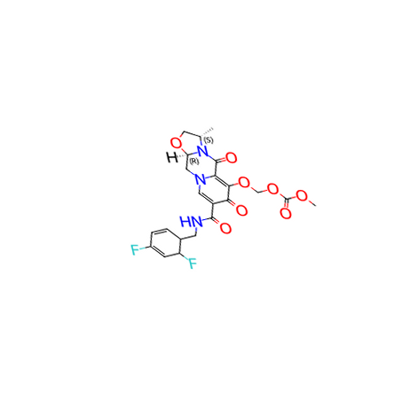 COC(=O)OCOc1c2n(cc(C(=O)NCC3C=CC(F)=CC3F)c1=O)C[C@H]1OC[C@H](C)N1C2=O